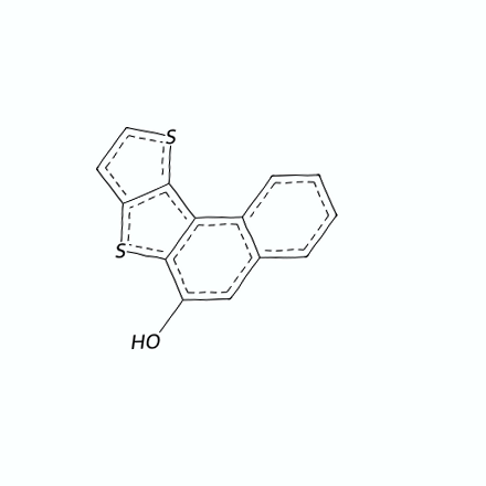 Oc1cc2ccccc2c2c1sc1ccsc12